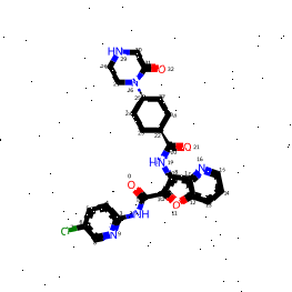 O=C(Nc1ccc(Cl)cn1)c1oc2cccnc2c1NC(=O)[C@H]1CC[C@H](N2CCNCC2=O)CC1